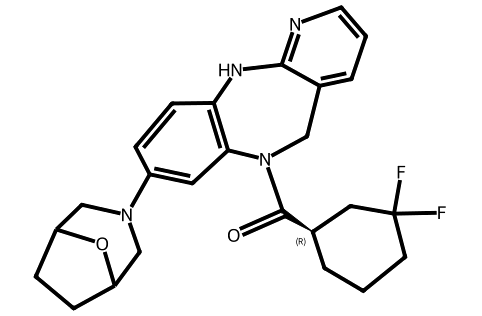 O=C([C@@H]1CCCC(F)(F)C1)N1Cc2cccnc2Nc2ccc(N3CC4CCC(C3)O4)cc21